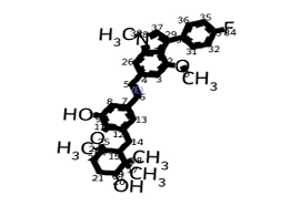 COc1cc(/C=C/c2cc(O)c3c(c2)CC2C(C)(C)[C@H](O)CC[C@@]2(C)O3)cc2c1c(-c1ccc(F)cc1)cn2C